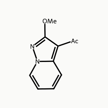 COc1nn2ccccc2c1C(C)=O